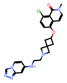 Cn1ccc2c(OC3CC4(C3)CN(CCNc3ccn5cnnc5c3)C4)ccc(Cl)c2c1=O